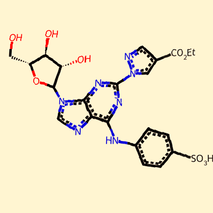 CCOC(=O)c1cnn(-c2nc(Nc3ccc(S(=O)(=O)O)cc3)c3ncn(C4O[C@H](CO)[C@@H](O)[C@@H]4O)c3n2)c1